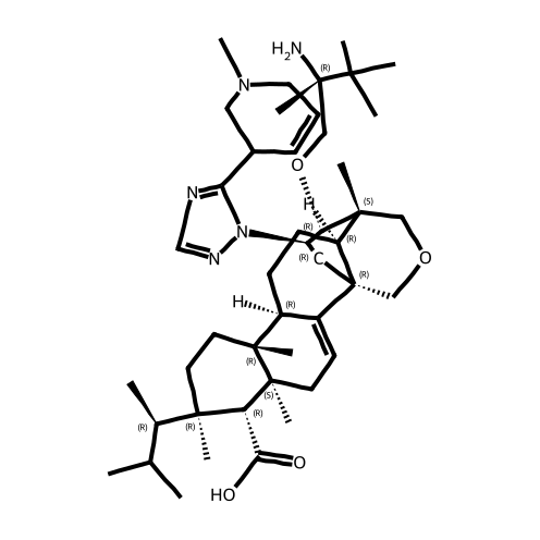 CC(C)[C@@H](C)[C@@]1(C)CC[C@]2(C)[C@H]3CC[C@@H]4[C@@]5(COC[C@@]4(C)[C@@H](OC[C@](C)(N)C(C)(C)C)[C@H](n4ncnc4C4C=CCN(C)C4)C5)C3=CC[C@@]2(C)[C@@H]1C(=O)O